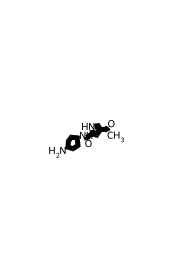 CC(=O)c1c[nH]c(C(=O)N[C@H]2CC[C@H](N)CC2)c1